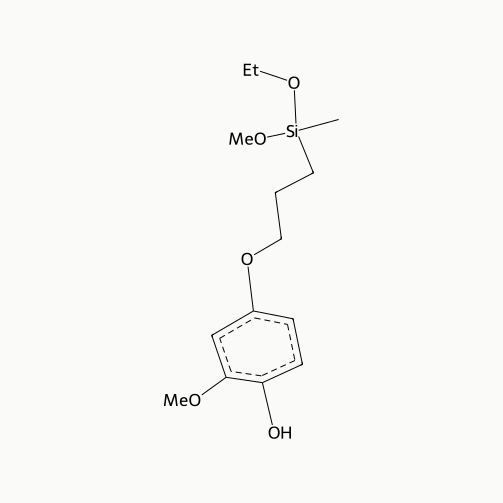 CCO[Si](C)(CCCOc1ccc(O)c(OC)c1)OC